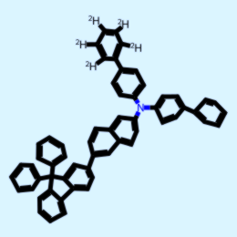 [2H]c1c([2H])c([2H])c(-c2ccc(N(c3ccc(-c4ccccc4)cc3)c3ccc4cc(-c5ccc6c(c5)C(c5ccccc5)(c5ccccc5)c5ccccc5-6)ccc4c3)cc2)c([2H])c1[2H]